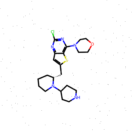 Clc1nc(N2CCOCC2)c2sc(C[C@H]3CCCCN3C3CCNCC3)cc2n1